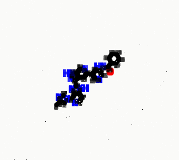 Cc1cn(-c2nccc3[nH]c(-c4n[nH]c5cnc(-c6cncc(NC(=O)C7CCCCC7)c6)cc45)nc23)cn1